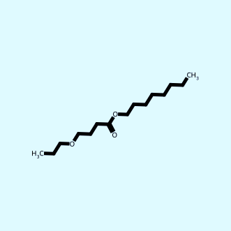 CCCCCCCCOC(=O)CCCOCCC